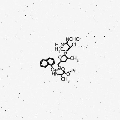 CC(C)OC(=O)C(C)N[P@@](OCC1CC(C)C(N(C)/C=C(Cl)\C(N)=N/C=O)O1)Oc1cccc2ccccc12